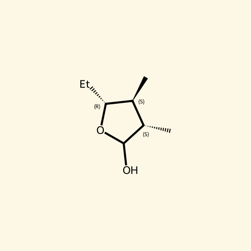 CC[C@H]1OC(O)[C@@H](C)[C@@H]1C